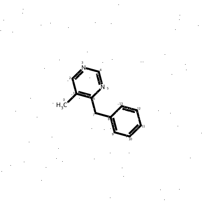 Cc1[c]ncnc1Cc1ccccc1